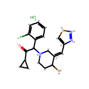 Cl.O=C(C1CC1)C(c1ccccc1F)N1CCC(S)/C(=C/c2csnn2)C1